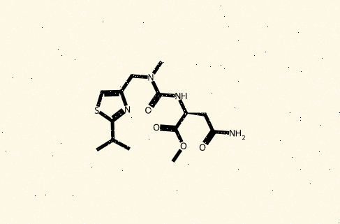 COC(=O)[C@H](CC(N)=O)NC(=O)N(C)Cc1csc(C(C)C)n1